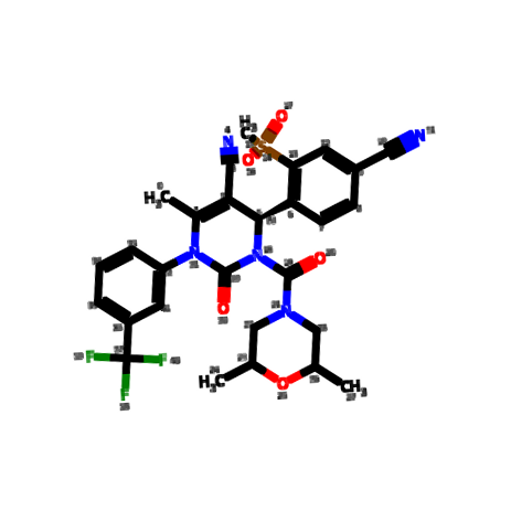 CC1=C(C#N)[C@@H](c2ccc(C#N)cc2S(C)(=O)=O)N(C(=O)N2CC(C)OC(C)C2)C(=O)N1c1cccc(C(F)(F)F)c1